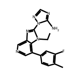 CCn1c(-n2ncnc2N)nc2cncc(-c3ccc(C)c(F)c3)c21